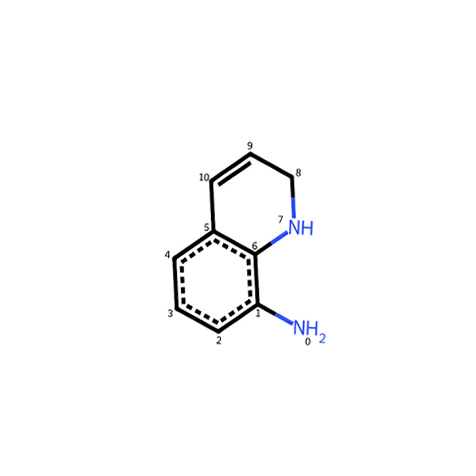 Nc1cccc2c1NCC=C2